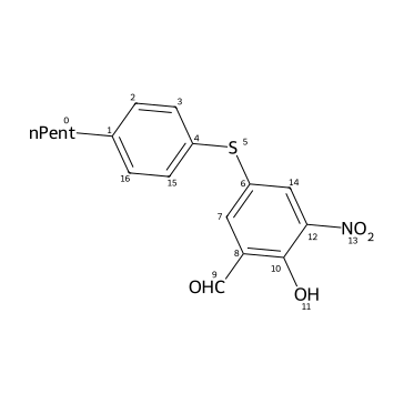 CCCCCc1ccc(Sc2cc(C=O)c(O)c([N+](=O)[O-])c2)cc1